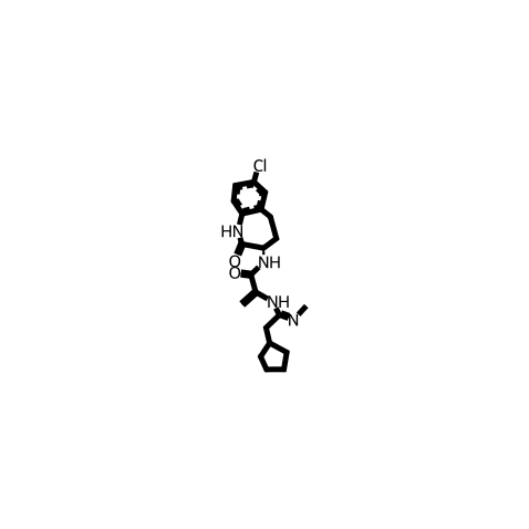 C=C(N/C(CC1CCCC1)=N\C)C(=O)N[C@H]1CCc2cc(Cl)ccc2NC1=O